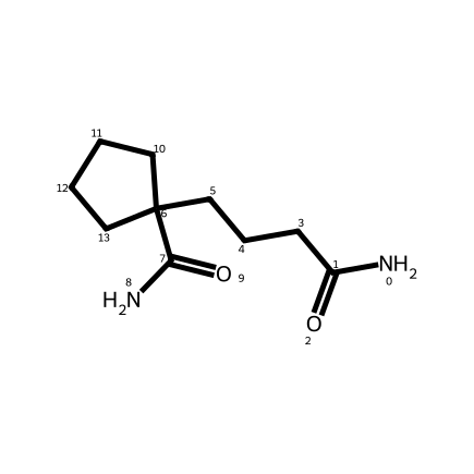 NC(=O)CCCC1(C(N)=O)CCCC1